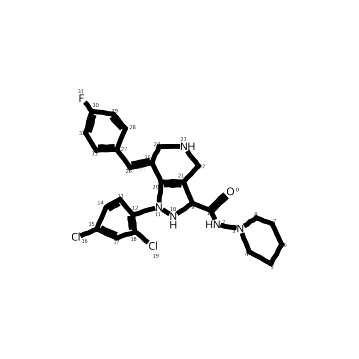 O=C(NN1CCCCC1)C1NN(c2ccc(Cl)cc2Cl)C2=C1CNC/C2=C\c1ccc(F)cc1